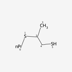 CCCSC(C)CS